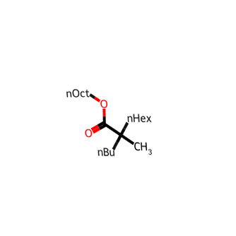 CCCCCCCCOC(=O)C(C)(CCCC)CCCCCC